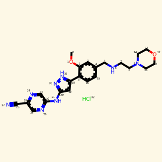 COc1cc(CNCCN2CCOCC2)ccc1-c1cc(Nc2cnc(C#N)cn2)n[nH]1.Cl